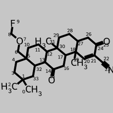 CC1(C)CCC2(COCF)CCC3C(C(=O)CC4C5(C)C=C(C#N)C(=O)CC5CCC34C)C2C1